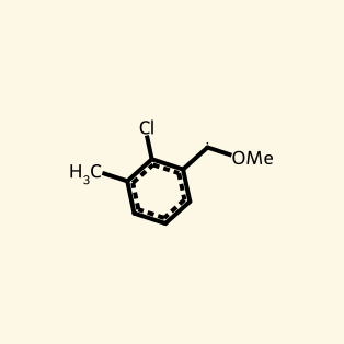 CO[CH]c1cccc(C)c1Cl